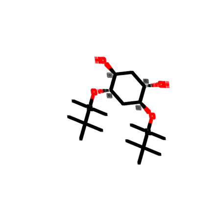 CC(C)(C)[Si](C)(C)O[C@H]1C[C@H](O[Si](C)(C)C(C)(C)C)[C@@H](O)C[C@@H]1O